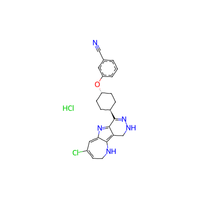 Cl.N#Cc1cccc(O[C@H]2CC[C@H](C3=NNCC4=C5NCC=C(Cl)C=C5N=C43)CC2)c1